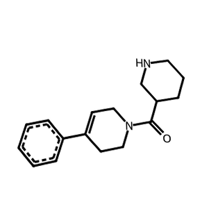 O=C(C1CCCNC1)N1CC=C(c2ccccc2)CC1